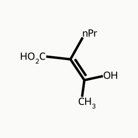 CCCC(C(=O)O)=C(C)O